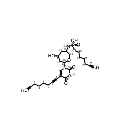 C#CCCCCC#Cc1cn([C@H]2CC(O)CC(NP(=O)(O)OCCCCC#C)CO2)c(=O)[nH]c1=O